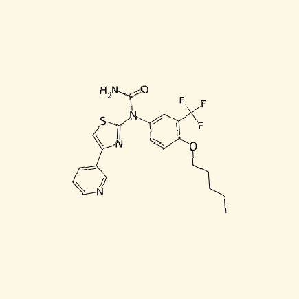 CCCCCOc1ccc(N(C(N)=O)c2nc(-c3cccnc3)cs2)cc1C(F)(F)F